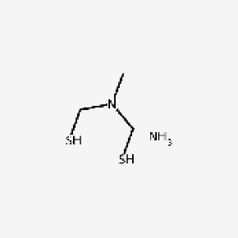 CN(CS)CS.N